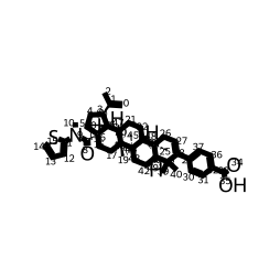 C=C(C)[C@@H]1CC[C@]2(C(=O)N(C)c3cccs3)CC[C@]3(C)[C@H](CC[C@@H]4[C@@]5(C)CC=C(c6ccc(C(=O)O)cc6)C(C)(C)[C@@H]5CC[C@]43C)[C@@H]12